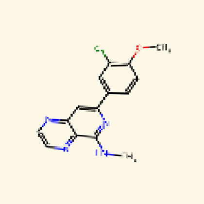 CNc1nc(-c2ccc(OC)c(Cl)c2)cc2nccnc12